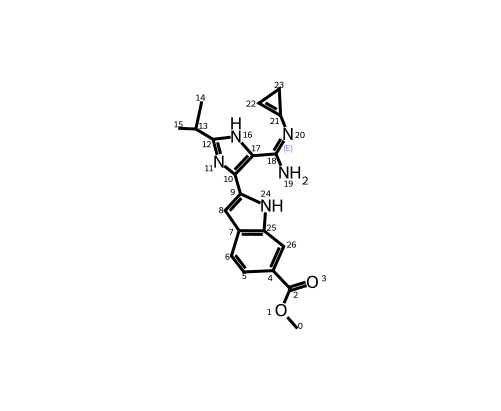 COC(=O)c1ccc2cc(-c3nc(C(C)C)[nH]c3/C(N)=N\C3=CC3)[nH]c2c1